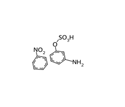 Nc1cccc(OS(=O)(=O)O)c1.O=[N+]([O-])c1ccccc1